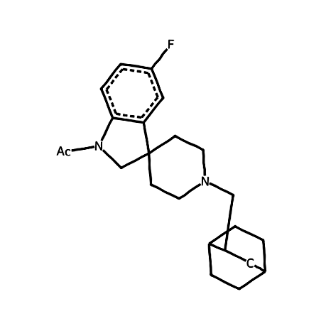 CC(=O)N1CC2(CCN(CC3CC4CCC3CC4)CC2)c2cc(F)ccc21